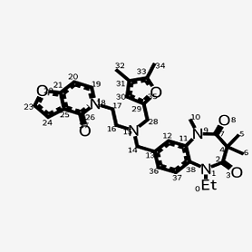 CCN1C(=O)C(C)(C)C(=O)N(C)c2cc(CN(CCn3ccc4occc4c3=O)Cc3cc(C)c(C)o3)ccc21